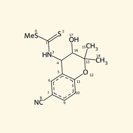 CSC(=S)NC1c2cc(C#N)ccc2OC(C)(C)C1O